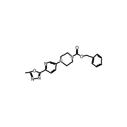 Cc1nnc(-c2ccc(N3CCN(C(=O)OCc4ccccc4)CC3)cn2)o1